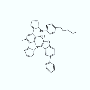 CCCCCc1ccc(Nc2ccccc2-c2cc(C)c3c4ccccc4n4c3c2Bc2oc3ccc(-c5ccccc5)cc3c2-4)cc1